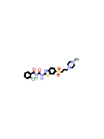 CC(C)N1CCN(CCCS(=O)(=O)c2ccc3nc(NC(=O)NC(=O)c4ccccc4Cl)sc3c2)CC1